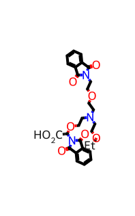 CCOCCN(CCOCCN1C(=O)c2ccccc2C1=O)CCOC(C(=O)O)N1C(=O)c2ccccc2C1=O